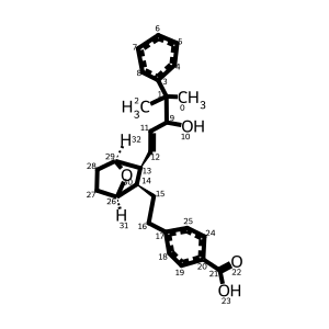 CC(C)(c1ccccc1)C(O)/C=C/[C@H]1[C@@H](CCc2ccc(C(=O)O)cc2)[C@H]2CC[C@@H]1O2